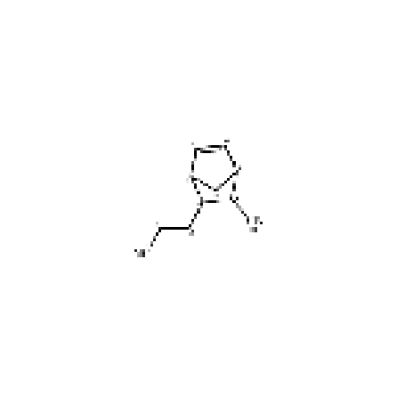 N#CCCC1C2C=CC(C2)C1C#N